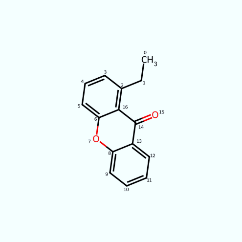 CCc1cccc2oc3ccccc3c(=O)c12